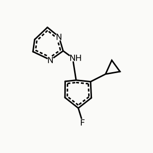 Fc1ccc(Nc2ncccn2)c(C2CC2)c1